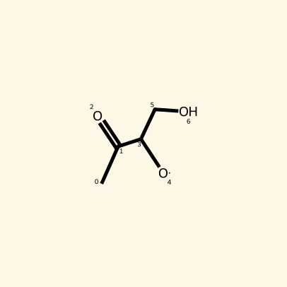 CC(=O)C([O])CO